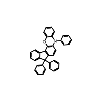 c1ccc(N2c3ccccc3Oc3c2ccc2c3-c3ccccc3C2(c2ccccc2)c2ccccc2)cc1